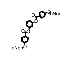 CCCCCCCCCOc1ccc(C(=O)Oc2cccc(OC(=O)c3ccc(OCCCCCCCCC)cc3)c2)cc1